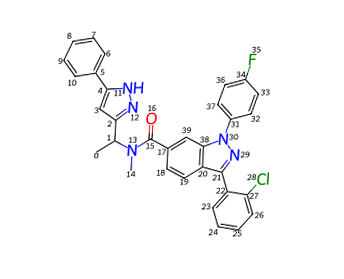 CC(c1cc(-c2ccccc2)[nH]n1)N(C)C(=O)c1ccc2c(-c3ccccc3Cl)nn(-c3ccc(F)cc3)c2c1